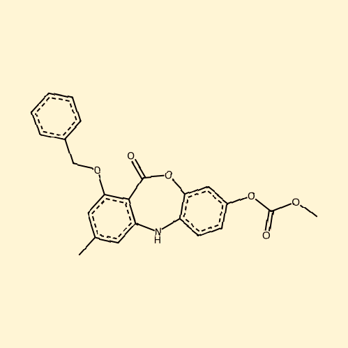 COC(=O)Oc1ccc2c(c1)OC(=O)c1c(cc(C)cc1OCc1ccccc1)N2